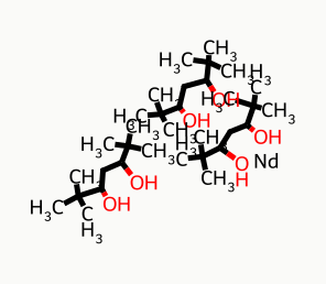 CC(C)(C)C(O)CC(O)C(C)(C)C.CC(C)(C)C(O)CC(O)C(C)(C)C.CC(C)(C)C(O)CC(O)C(C)(C)C.[Nd]